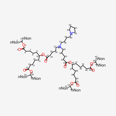 CCCCCCCCCC(CCCCCCCCC)OC(=O)CCCCC(CCCCC(=O)OC(CCCCCCCCC)CCCCCCCCC)OC(=O)CCCCN(CCCCC(=O)OC(CCCCC(=O)OC(CCCCCCCCC)CCCCCCCCC)CCCCC(=O)OC(CCCCCCCCC)CCCCCCCCC)CCCCN1CCCC1